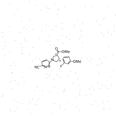 COC(=O)[C@@H]1CN(c2ccc(C#N)nn2)C[C@H]1c1ccc(OC)cc1F